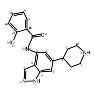 O=C(Nc1cc(C2CCNCC2)cc2[nH]ncc12)c1ccccc1O